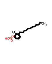 CCCCCCCCCCCCc1cccc(OS(=O)O)c1C